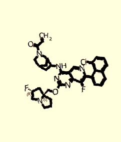 C=CC(=O)N1CC2CC(Nc3nc(OC[C@@]45CCCN4C[C@H](F)C5)nc4c(F)c(-c5cccc6cccc(Cl)c56)ncc34)C1C2